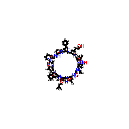 CCCN1CC(=O)N(C)[C@@H](CC(C)C)C(=O)N[C@@H](COCCC(C)C)C(=O)N(C)[C@@H](Cc2ccccc2)C(=O)N(C)[C@@H](CC(C)C)C(=O)N[C@H](C(=O)N2CCCCC2)CC(=O)N[C@H](CC)C(=O)N(C)[C@@H](CCc2ccccc2)C(=O)N[C@@H](CCCCO)C(=O)N(C)[C@@H](CC(C)C)C(=O)N[C@@H]([C@@H](C)O)C1=O